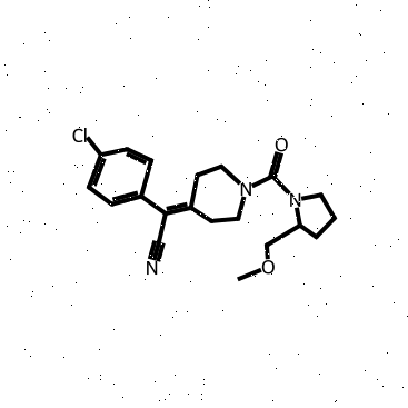 COCC1CCCN1C(=O)N1CCC(=C(C#N)c2ccc(Cl)cc2)CC1